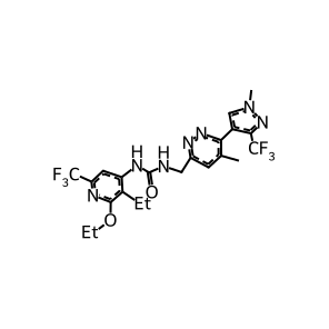 CCOc1nc(C(F)(F)F)cc(NC(=O)NCc2cc(C)c(-c3cn(C)nc3C(F)(F)F)nn2)c1CC